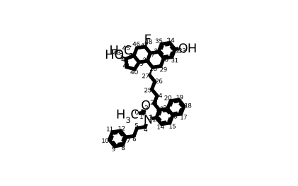 CC(=O)N(CCCc1ccccc1)c1ccc2ccccc2c1CCCCC[C@@H]1Cc2cc(O)ccc2C2C1C1CC[C@H](O)[C@@]1(C)C[C@@H]2F